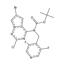 CC(C)(C)OC(=O)N(Cc1c(F)cncc1F)c1nc(Cl)nn2cc(Br)cc12